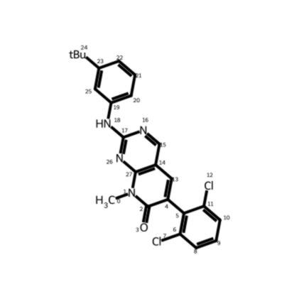 Cn1c(=O)c(-c2c(Cl)cccc2Cl)cc2cnc(Nc3cccc(C(C)(C)C)c3)nc21